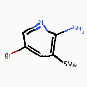 CSc1cc(Br)cnc1N